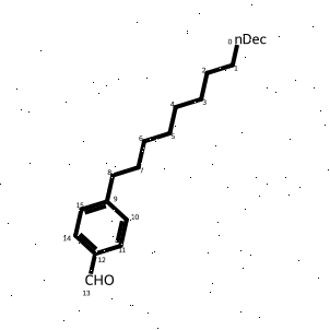 CCCCCCCCCCCCCCCCCCc1ccc(C=O)cc1